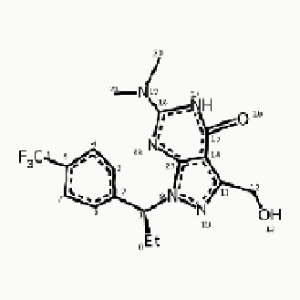 CC[C@@H](c1ccc(C(F)(F)F)cc1)n1nc(CO)c2c(=O)[nH]c(N(C)C)nc21